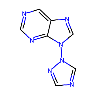 c1ncc2ncn(-n3cncn3)c2n1